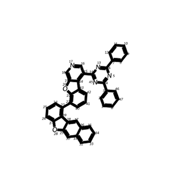 c1ccc(-c2nc(-c3ccccc3)nc(-c3cncc4oc5c(-c6cccc7oc8cc9ccccc9cc8c67)cccc5c34)n2)cc1